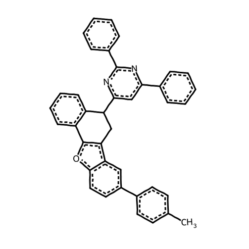 Cc1ccc(-c2ccc3oc4c(c3c2)CC(c2cc(-c3ccccc3)nc(-c3ccccc3)n2)c2ccccc2-4)cc1